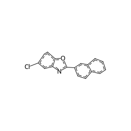 Clc1ccc2oc(-c3ccc4ccccc4c3)nc2c1